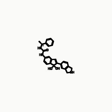 C[C@H](NC(=O)Nc1ccc2c(c1)C=C(c1ccc3c(c1)CNC3)S2(O)O)c1ccccc1